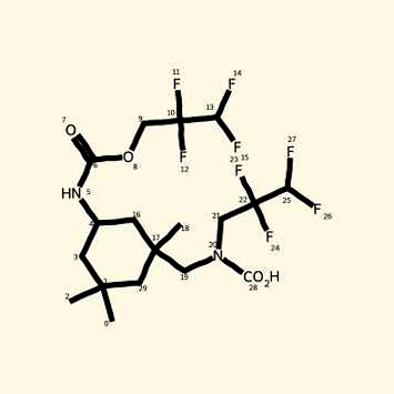 CC1(C)CC(NC(=O)OCC(F)(F)C(F)F)CC(C)(CN(CC(F)(F)C(F)F)C(=O)O)C1